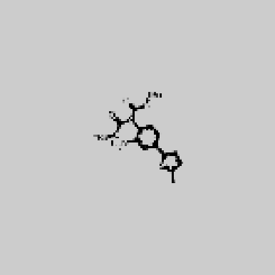 Cc1ccc(-c2ccc(N(C(=O)OC(C)(C)C)C(=O)OC(C)(C)C)c([N+](=O)[O-])c2)s1